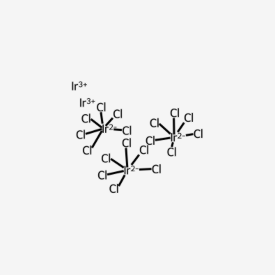 [Cl][Ir-2]([Cl])([Cl])([Cl])([Cl])[Cl].[Cl][Ir-2]([Cl])([Cl])([Cl])([Cl])[Cl].[Cl][Ir-2]([Cl])([Cl])([Cl])([Cl])[Cl].[Ir+3].[Ir+3]